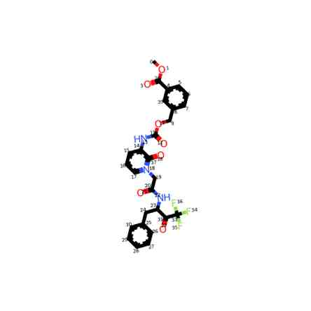 COC(=O)c1cccc(COC(=O)Nc2cccn(CC(=O)NC(Cc3ccccc3)C(=O)C(F)(F)F)c2=O)c1